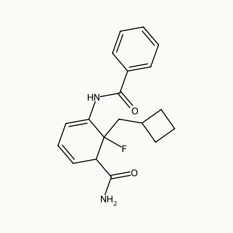 NC(=O)C1C=CC=C(NC(=O)c2ccccc2)C1(F)CC1CCC1